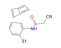 CCc1ccccc1NC(=O)CC#N.c1cc2ccc1-2